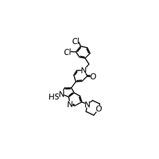 O=c1cc(-c2cn(S)c3ncc(N4CCOCC4)cc23)ccn1Cc1ccc(Cl)c(Cl)c1